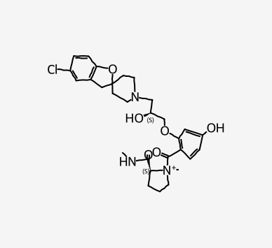 CNC(=O)[C@@H]1CCC[N+]1(C)C(=O)c1ccc(O)cc1OC[C@@H](O)CN1CCC2(CC1)Cc1cc(Cl)ccc1O2